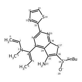 C=CN(C)/C(=C\C)c1cc(-c2nccs2)nc2sc([S+]([O-])CCCC)c(N)c12